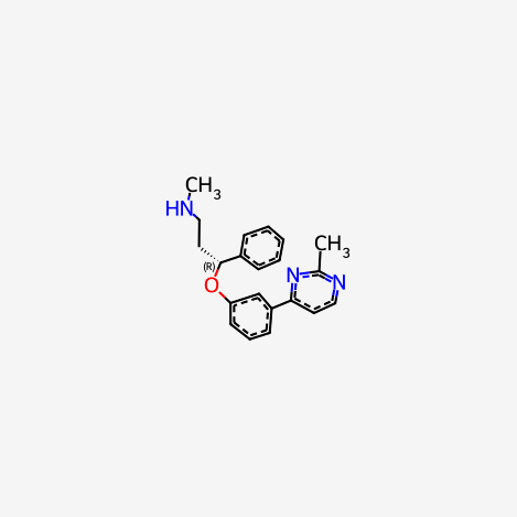 CNCC[C@@H](Oc1cccc(-c2ccnc(C)n2)c1)c1ccccc1